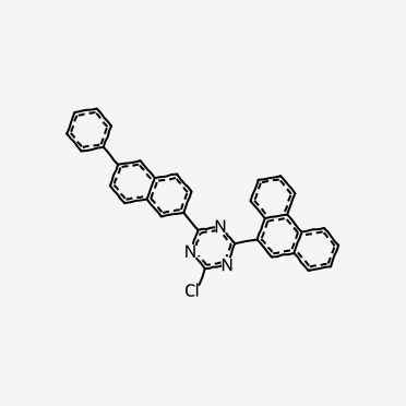 Clc1nc(-c2ccc3cc(-c4ccccc4)ccc3c2)nc(-c2cc3ccccc3c3ccccc23)n1